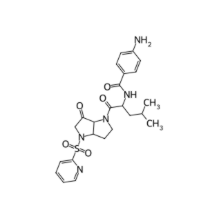 CC(C)CC(NC(=O)c1ccc(N)cc1)C(=O)N1CCC2C1C(=O)CN2S(=O)(=O)c1ccccn1